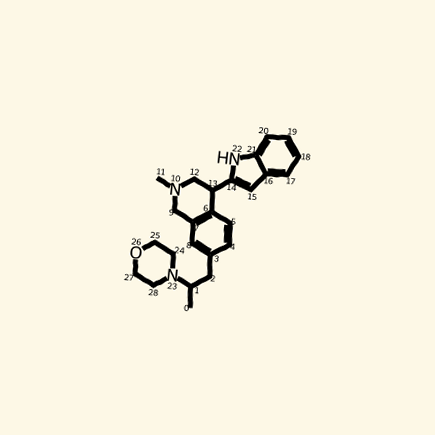 CC(Cc1ccc2c(c1)CN(C)CC2c1cc2ccccc2[nH]1)N1CCOCC1